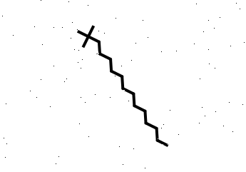 CCCCCCCCCCC[CH]CC(C)(C)C